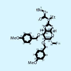 CCN(C(=O)OC(C)(C)C)C1=N[C@@H]2[C@@H](OCc3ccc(OC)cc3)[C@H](OCc3ccc(OC)cc3)[C@@H](CF)O[C@@H]2S1